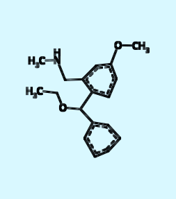 CCOC(c1ccccc1)c1ccc(OC)cc1CNC